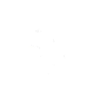 CS(=O)(=O)c1ccccc1S(=O)(=O)C(=[N+]=[N-])S(=O)(=O)c1ccccc1S(C)(=O)=O